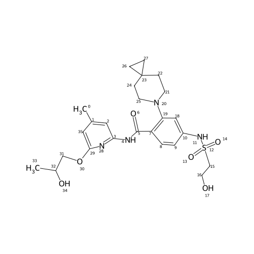 Cc1cc(NC(=O)c2ccc(NS(=O)(=O)CCO)cc2N2CCC3(CC2)CC3)nc(OCC(C)O)c1